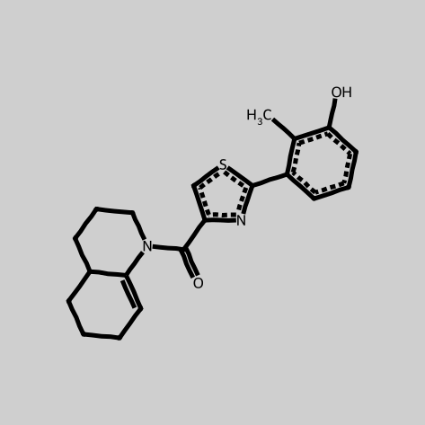 Cc1c(O)cccc1-c1nc(C(=O)N2CCCC3CCCC=C32)cs1